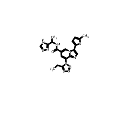 Cc1ccc(-c2cnc3c(-n4nnnc4CC(F)(F)F)cc(C(=O)NC(C)c4nnc[nH]4)cn23)s1